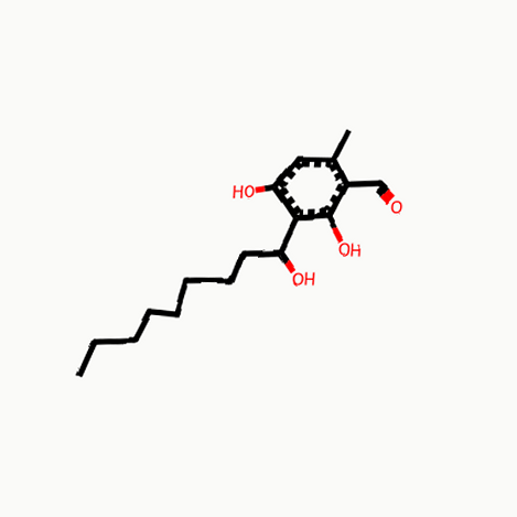 CCCCCCCCC(O)c1c(O)cc(C)c(C=O)c1O